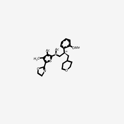 COc1ccccc1[C@@H](CC1CCOCC1)CN(C(C)=O)c1sc(C2=NCCO2)c(C)c1C(C)=O